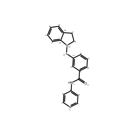 O=C(Nc1ccncc1)c1cccc(SN2CCc3ccccc32)c1